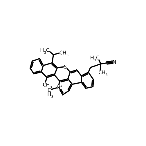 Cc1c2c(c(C(C)C)c3ccccc13)Sc1cc3c(CC(C)(C)C#N)cccc3c3cc[n+](C)c-2c13